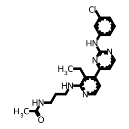 CCc1c(-c2ccnc(Nc3cccc(Cl)c3)n2)ccnc1NCCCNC(C)=O